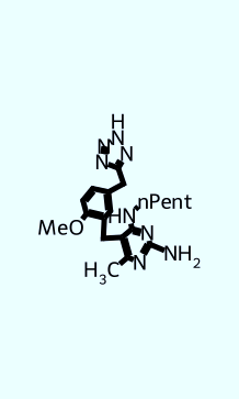 CCCCCNc1nc(N)nc(C)c1Cc1cc(Cc2nn[nH]n2)ccc1OC